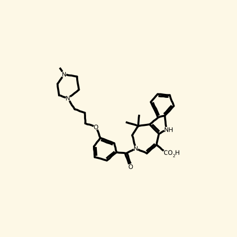 CN1CCN(CCCOc2cccc(C(=O)N3C=C(C(=O)O)c4[nH]c5ccccc5c4C(C)(C)C3)c2)CC1